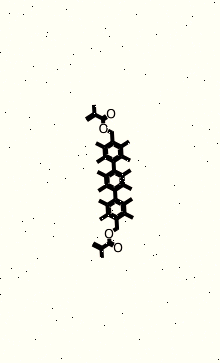 C=C(C)C(=O)OCc1c(C)c(C)c(-c2c(C)c(C)c(-c3c(C)c(C)c(COC(=O)C(=C)C)c(C)c3C)c(C)c2C)c(C)c1C